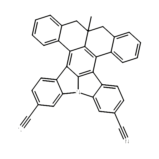 CC12Cc3ccccc3-c3c1c(c1c4ccc(C#N)cc4n4c5cc(C#N)ccc5c3c14)-c1ccccc1C2